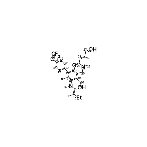 CC/C(C)=C/N(C)c1c(C)c(-c2ccc(OC(F)(F)F)cc2)cc(CN(C)C(=O)/C=C/CO)c1CO